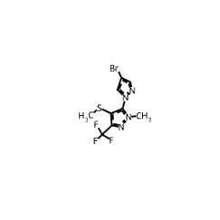 CSc1c(C(F)(F)F)nn(C)c1-n1cc(Br)cn1